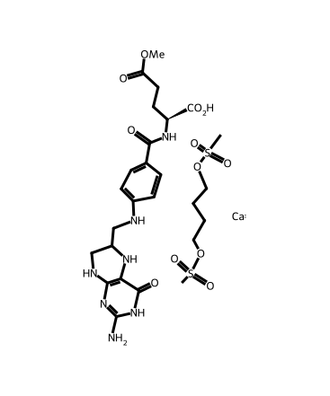 COC(=O)CC[C@H](NC(=O)c1ccc(NCC2CNc3nc(N)[nH]c(=O)c3N2)cc1)C(=O)O.CS(=O)(=O)OCCCCOS(C)(=O)=O.[Ca]